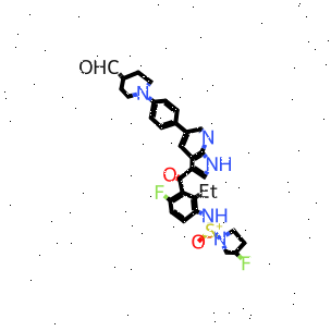 CCc1c(N[S+]([O-])N2CCC(F)C2)ccc(F)c1C(=O)c1c[nH]c2ncc(-c3ccc(N4CCC(C=O)CC4)cc3)cc12